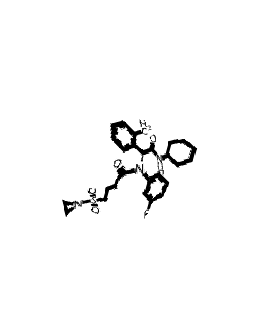 Cc1ccccc1[C@H](C(=O)NC1CCCCC1)N(C(=O)CCCS(=O)(=O)N1CC1)c1cccc(F)c1